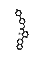 Fc1c(NCc2ccc(-c3ccncc3)cc2)ncnc1-c1ccc2ccccc2c1